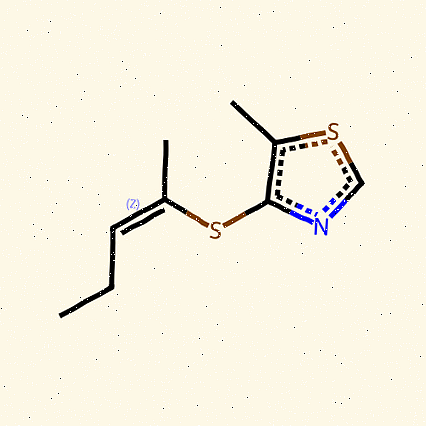 CC/C=C(/C)Sc1ncsc1C